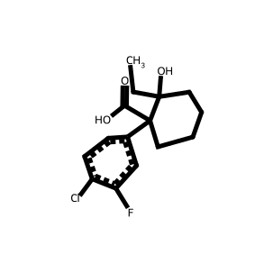 CCC1(O)CCCCC1(C(=O)O)c1ccc(Cl)c(F)c1